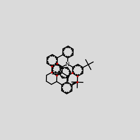 CC(C)(C)c1cc(N(c2ccccc2C2=c3c(C4CCCCC4)cccc3=CCC2)c2ccccc2-c2cccc3sc4ccccc4c23)cc(C(C)(C)C)c1